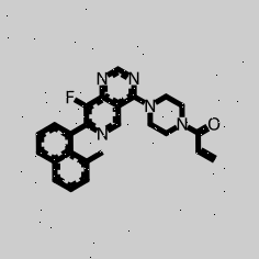 C=CC(=O)N1CCN(c2ncnc3c(F)c(-c4cccc5cccc(C)c45)ncc23)CC1